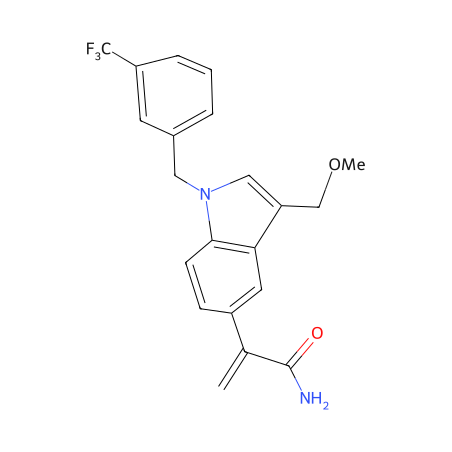 C=C(C(N)=O)c1ccc2c(c1)c(COC)cn2Cc1cccc(C(F)(F)F)c1